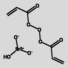 C=CC(=O)OOOC(=O)C=C.[O-][Br+2]([O-])O